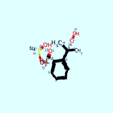 C=O.CC(C)c1ccccc1.OSO.[Na+].[O-]O